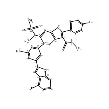 CNC(=O)c1c(-c2ccc(F)cc2)oc2cc(N(C)S(C)(=O)=O)c(-c3cc(N)nc(-c4cc5c(F)cccc5[nH]4)c3)cc12